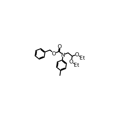 CCOC(CN(C(=O)OCc1ccccc1)c1ccc(C)cc1)OCC